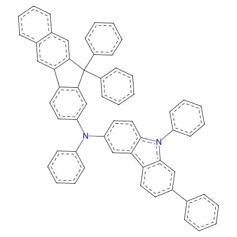 c1ccc(-c2ccc3c4cc(N(c5ccccc5)c5ccc6c(c5)C(c5ccccc5)(c5ccccc5)c5cc7ccccc7cc5-6)ccc4n(-c4ccccc4)c3c2)cc1